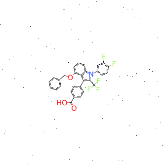 O=C(O)c1ccc(-c2c(C(F)(F)F)n(-c3ccc(F)c(F)c3)c3cccc(OCc4ccccc4)c23)cc1